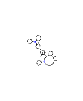 C=C1/C=C\C=C/N(c2ccccc2)/C=C(/c2ccc(-c3ccc4c(c3)c3c(n4-c4ccccc4)C=CCC3)cc2C)c2c(cccc2C2CC2)C1=C